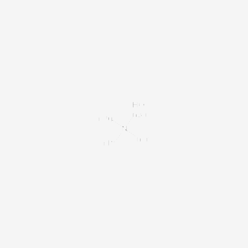 CCCC[N+](CCC)(CCC)CCCC.[OH-]